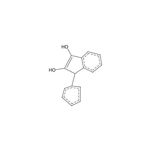 OC1=C(O)C(c2ccccc2)c2ccccc21